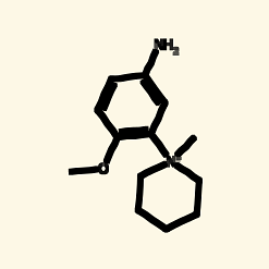 COc1ccc(N)cc1[N+]1(C)CCCCC1